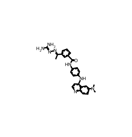 C/C(=N\N=C(N)N)c1cccc(C(=O)Nc2ccc(Nc3ccnc4ccc(N(C)C)cc34)cc2)c1